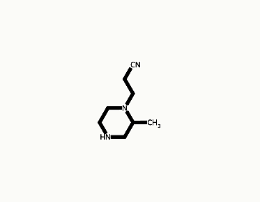 CC1CNCCN1CCC#N